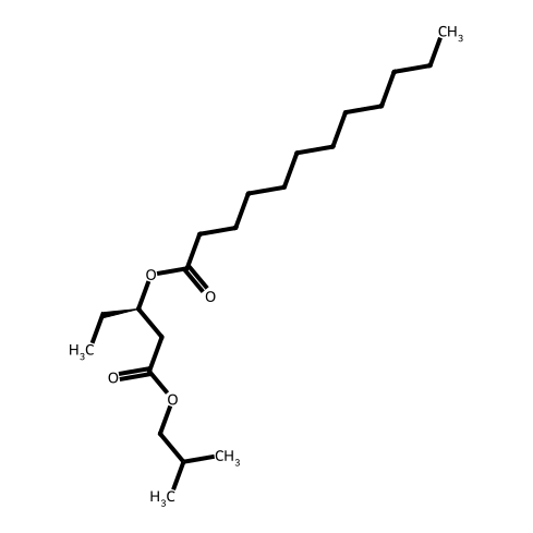 CCCCCCCCCCCC(=O)O[C@H](CC)CC(=O)OCC(C)C